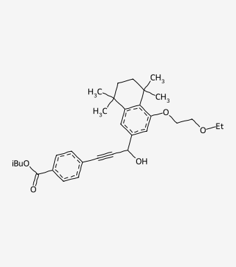 CCOCCOc1cc(C(O)C#Cc2ccc(C(=O)OCC(C)C)cc2)cc2c1C(C)(C)CCC2(C)C